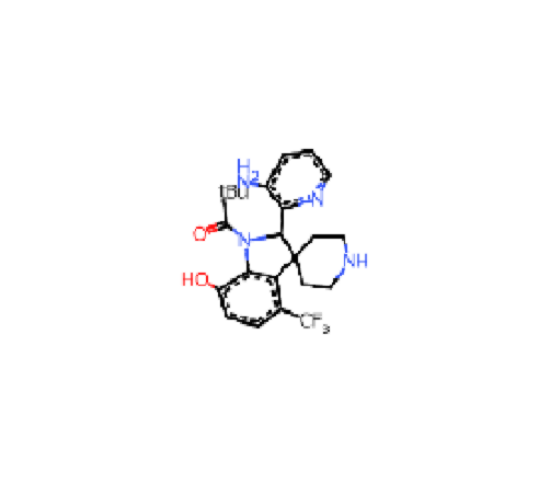 CC(C)(C)C(=O)N1c2c(O)ccc(C(F)(F)F)c2C2(CCNCC2)C1c1ncccc1N